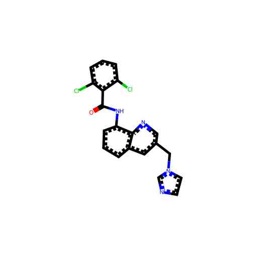 O=C(Nc1cccc2cc(Cn3ccnc3)cnc12)c1c(Cl)cccc1Cl